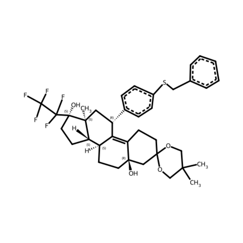 CC1(C)COC2(CCC3=C4[C@@H](CC[C@@]3(O)C2)[C@@H]2CC[C@@](O)(C(F)(F)C(F)(F)F)[C@@]2(C)C[C@@H]4c2ccc(SCc3ccccc3)cc2)OC1